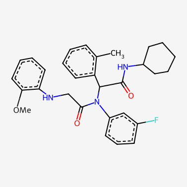 COc1ccccc1NCC(=O)N(c1cccc(F)c1)C(C(=O)NC1CCCCC1)c1ccccc1C